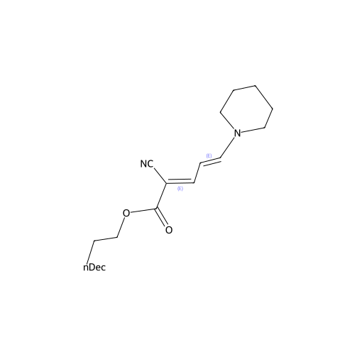 CCCCCCCCCCCCOC(=O)/C(C#N)=C/C=C/N1CCCCC1